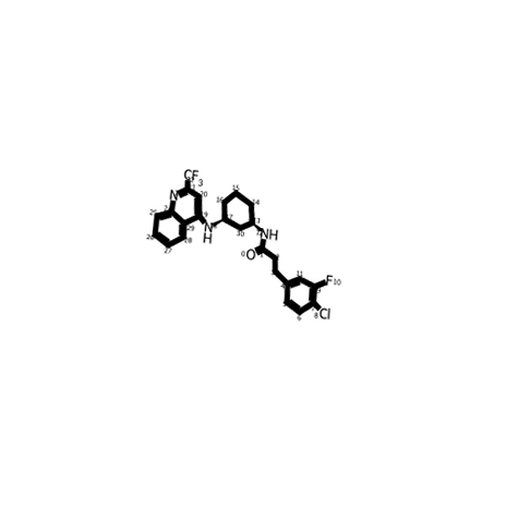 O=C(CCc1ccc(Cl)c(F)c1)N[C@@H]1CCC[C@H](Nc2cc(C(F)(F)F)nc3ccccc23)C1